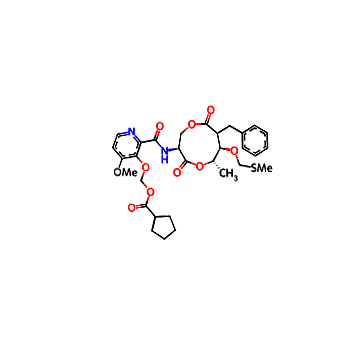 COc1ccnc(C(=O)N[C@H]2COC(=O)C(Cc3ccccc3)[C@@H](OCSC)[C@H](C)OC2=O)c1OCOC(=O)C1CCCC1